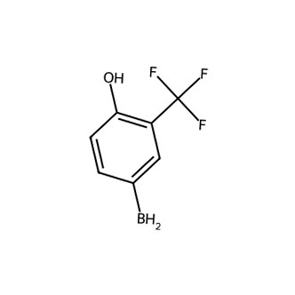 Bc1ccc(O)c(C(F)(F)F)c1